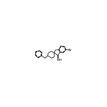 N=C1c2cc(Br)ccc2CC12CCC(Cc1ccccc1)CC2